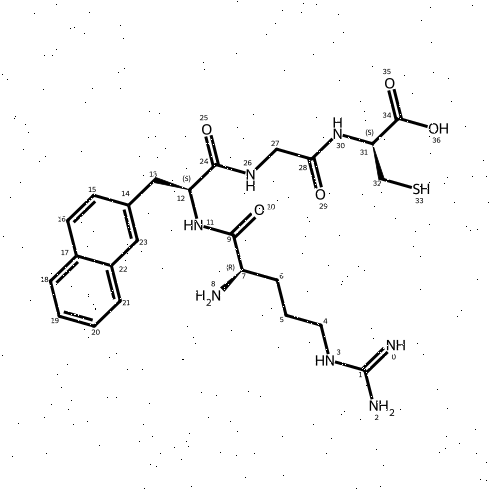 N=C(N)NCCC[C@@H](N)C(=O)N[C@@H](Cc1ccc2ccccc2c1)C(=O)NCC(=O)N[C@H](CS)C(=O)O